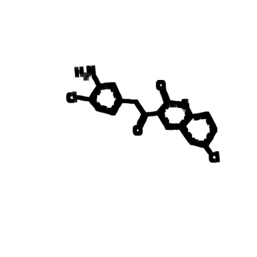 Nc1cc(CC(=O)c2cc3cc(Cl)ccc3sc2=O)ccc1Cl